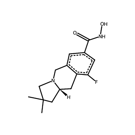 CC1(C)C[C@H]2Cc3c(F)cc(C(=O)NO)cc3CN2C1